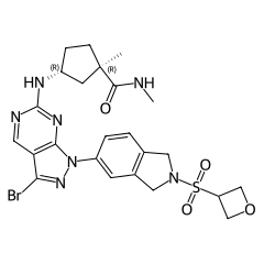 CNC(=O)[C@]1(C)CC[C@@H](Nc2ncc3c(Br)nn(-c4ccc5c(c4)CN(S(=O)(=O)C4COC4)C5)c3n2)C1